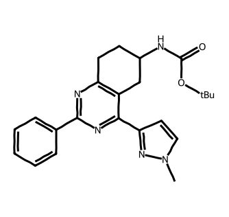 Cn1ccc(-c2nc(-c3ccccc3)nc3c2CC(NC(=O)OC(C)(C)C)CC3)n1